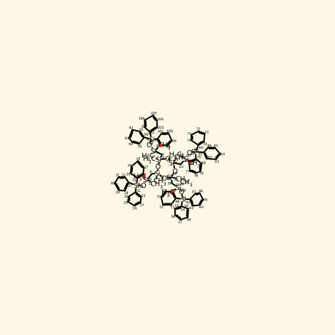 C[Si](C)(C[Si]1(C)O[Si](C)(C[Si](C)(C)O[Si](c2ccccc2)(c2ccccc2)c2ccccc2)O[Si](C)(C[Si](C)(C)O[Si](c2ccccc2)(c2ccccc2)c2ccccc2)O[Si](C)(C[Si](C)(C)O[Si](c2ccccc2)(c2ccccc2)c2ccccc2)O1)O[Si](c1ccccc1)(c1ccccc1)c1ccccc1